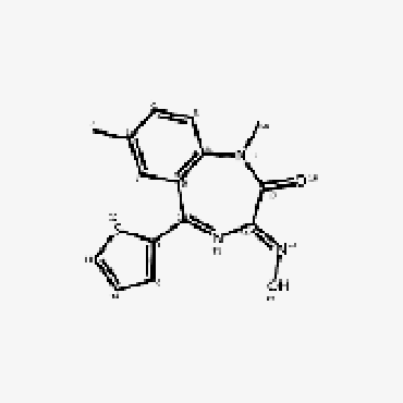 Cc1ccc2c(c1)c(-c1cccs1)nc(=NO)c(=O)n2C